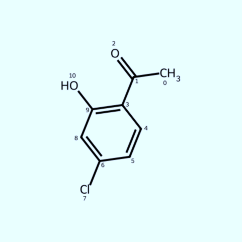 CC(=O)c1ccc(Cl)cc1O